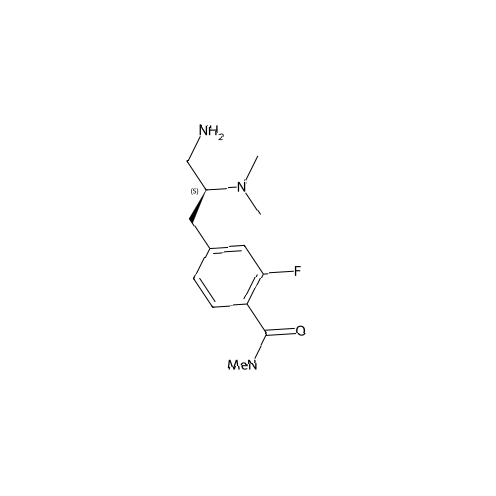 CNC(=O)c1ccc(C[C@@H](CN)N(C)C)cc1F